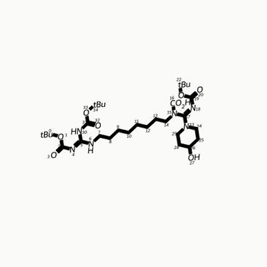 CC(C)(C)OC(=O)N=C(NCCCCCCCCN(C(=O)O)C(=NC(=O)OC(C)(C)C)N1CCC(O)CC1)NC(=O)OC(C)(C)C